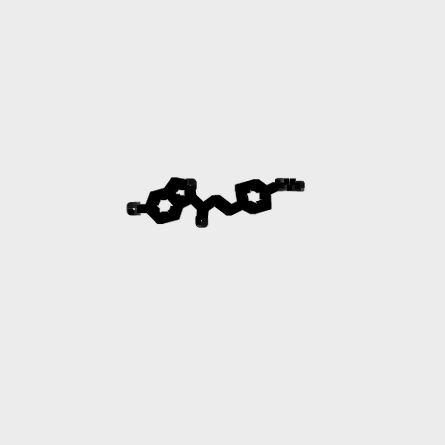 CSc1ccc(C=CC(=O)c2occ3cc(Cl)ccc23)cc1